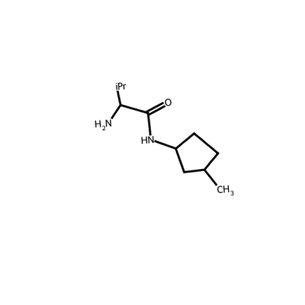 CC1CCC(NC(=O)C(N)C(C)C)C1